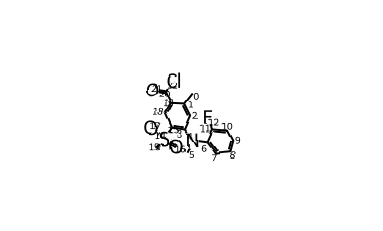 Cc1cc(N(C)c2ccccc2F)c(S(C)(=O)=O)cc1C(=O)Cl